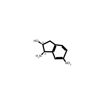 N[C@@H]1c2cc([N+](=O)[O-])ccc2C[C@@H]1O